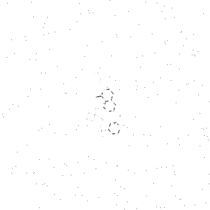 CC1(Nc2nc(Nc3cc(C(C)(C)O)ccn3)cc3ccn(CCO)c(=O)c23)CCC1